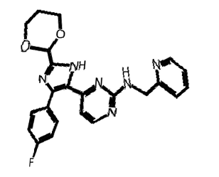 Fc1ccc(-c2nc(C3OCCCO3)[nH]c2-c2ccnc(NCc3ccccn3)n2)cc1